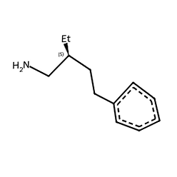 CC[C@H](CN)CCc1ccccc1